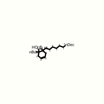 CCCCCCCCCCCCCCCCC1(C(=O)O)CC=CCC1(CCCC)C(=O)O